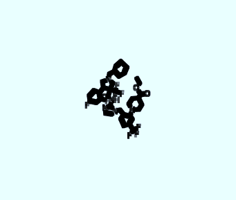 CCOC(=O)C1CCN(c2cc(C(F)(F)F)ccc2Cn2ccnc2NC(=O)C2(C(F)(F)F)CN(Cc3ccccc3)CC2c2ccc(F)cc2F)CC1